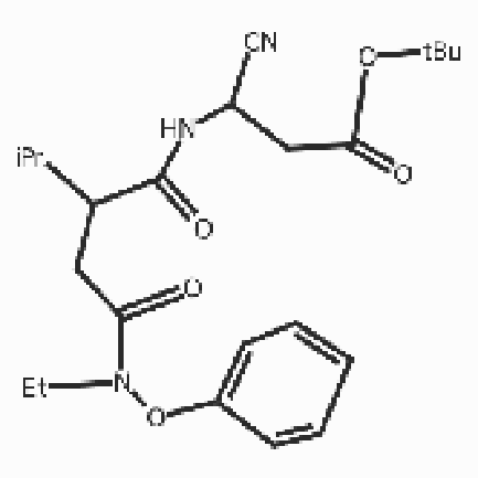 CCN(Oc1ccccc1)C(=O)CC(C(=O)NC(C#N)CC(=O)OC(C)(C)C)C(C)C